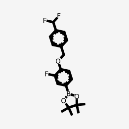 CC1(C)OB(c2ccc(OCc3ccc(C(F)F)cc3)c(F)c2)OC1(C)C